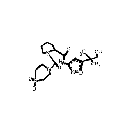 CC(C)(CO)c1cc(NC(=O)C2CCCCN2C(=O)N2CCS(=O)(=O)CC2)no1